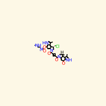 CNCCN(C)C(=O)Oc1cc2c(c3c(C)c[nH]c13)[C@H](CCl)CN2C(=O)C12CC(C(=O)N3C[C@H]4C[C@@]45C3=CC(=O)c3[nH]cc(C)c35)(C1)C2